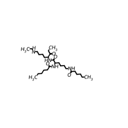 CCCCCC(=O)NCCCCC(NC(=O)CCCCC)C(=O)NC(CCCCNCC)C(=O)CC